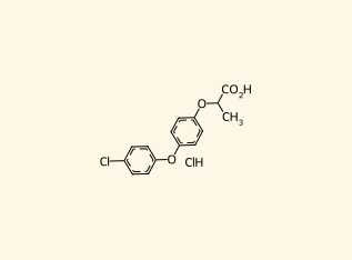 CC(Oc1ccc(Oc2ccc(Cl)cc2)cc1)C(=O)O.Cl